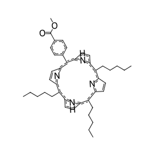 CCCCCc1c2nc(c(CCCCC)c3ccc([nH]3)c(-c3ccc(C(=O)OC)cc3)c3nc(c(CCCCC)c4ccc1[nH]4)C=C3)C=C2